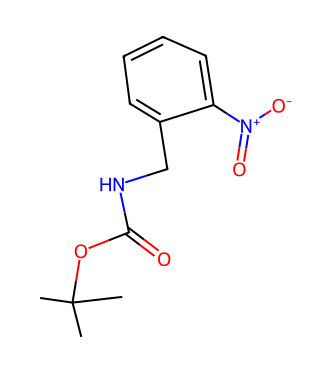 CC(C)(C)OC(=O)NCc1ccccc1[N+](=O)[O-]